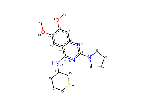 COc1cc2nc(N3CCCC3)nc(NC3CCCSC3)c2cc1OC